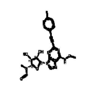 CONc1nc(C#Cc2ccc(C)cc2)nc2c1ncn2[C@@H]1O[C@H](N(C)C=O)[C@@H](O)[C@H]1O